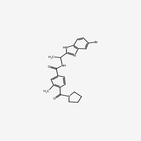 Cc1cc(C(=O)NC(C)c2nc3cc(Br)ccc3[nH]2)ccc1C(=O)N1CCCC1